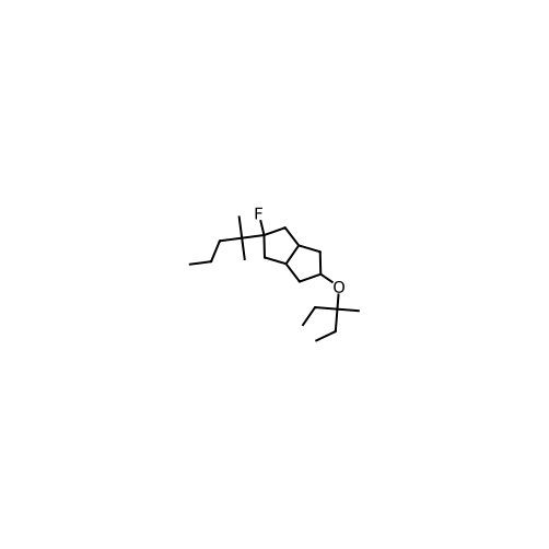 CCCC(C)(C)C1(F)CC2CC(OC(C)(CC)CC)CC2C1